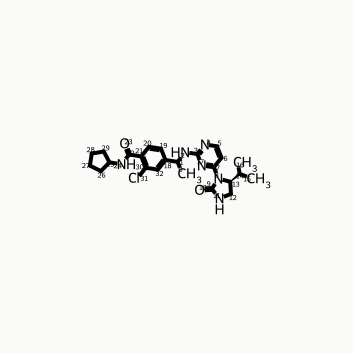 CC(Nc1nccc(N2C(=O)NC[C@@H]2C(C)C)n1)c1ccc(C(=O)NC2CCCC2)c(Cl)c1